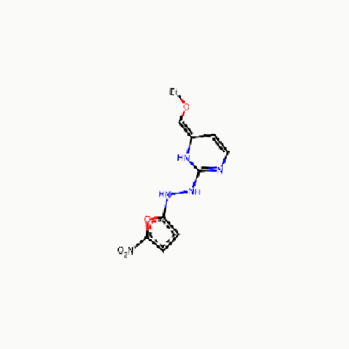 CCOC=C1C=CN=C(NNc2ccc([N+](=O)[O-])o2)N1